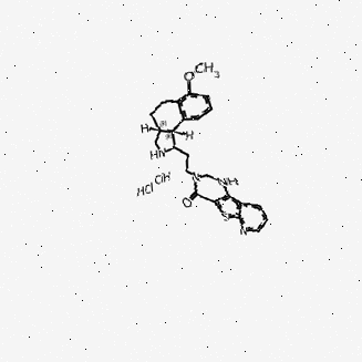 COc1cccc2c1CC[C@H]1CNC(CCN3CNc4c(sc5ncccc45)C3=O)[C@@H]21.Cl.Cl